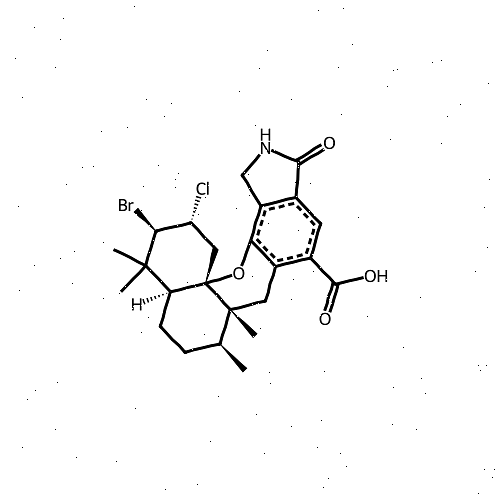 C[C@H]1CC[C@H]2C(C)(C)[C@@H](Br)[C@H](Cl)C[C@]23Oc2c(c(C(=O)O)cc4c2CNC4=O)C[C@]13C